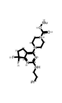 CC(C)CCNc1nc(N2CCN(C(=O)OC(C)(C)C)CC2)c2c(n1)C(F)(F)CC2